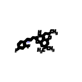 CCCC(NOC/C=C/c1ccc(F)cc1F)=C1C(=O)CC(C)(C)CC1=O